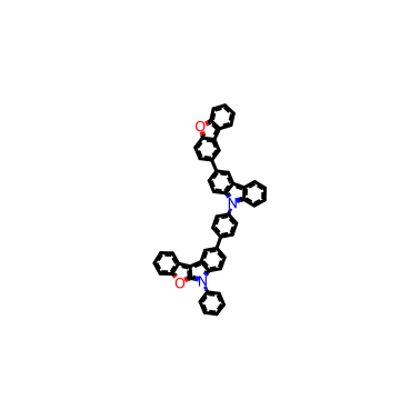 c1ccc(-n2c3ccc(-c4ccc(-n5c6ccccc6c6cc(-c7ccc8oc9ccccc9c8c7)ccc65)cc4)cc3c3c4ccccc4oc32)cc1